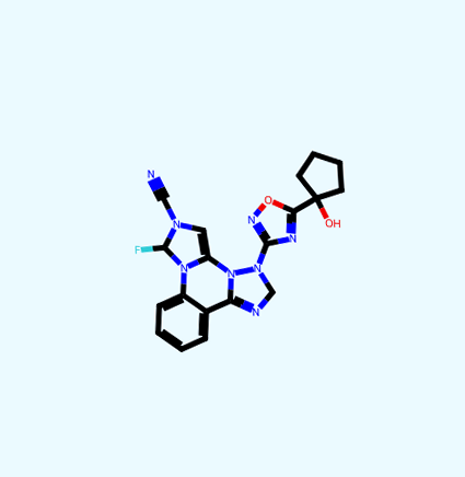 N#CN1C=C2N(c3ccccc3C3=NCN(c4noc(C5(O)CCCC5)n4)N23)C1F